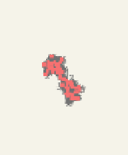 Cc1ccccc1N(c1cccc2c1oc1ccccc12)c1cc2ccccc2c2c1oc1c(N(c3ccccc3C)c3cccc4c3oc3ccc(-c5ccc6oc7c(N(c8ccccc8)c8cc9ccccc9c9c8oc8c(N(c%10ccccc%10)c%10cccc%11c%10oc%10ccccc%10%11)cc%10ccccc%10c89)cccc7c6c5)cc34)cc3ccccc3c12